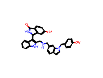 O=C1NC(c2c(CNCc3ccc4ccn(Cc5ccc(O)cc5)c4c3)[nH]c3ccccc23)c2cc(O)ccc21